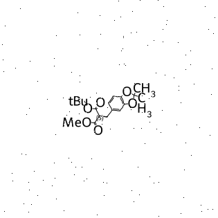 COC(=O)[C@H](Cc1ccc2c(c1)OC(C)(C)O2)C(=O)OC(C)(C)C